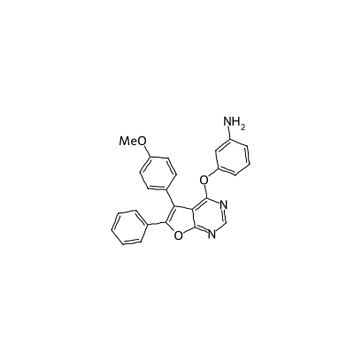 COc1ccc(-c2c(-c3ccccc3)oc3ncnc(Oc4cccc(N)c4)c23)cc1